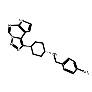 Nc1ccc(CN[C@H]2CC[C@H](c3nnn4cnc5[nH]ccc5c34)CC2)cc1